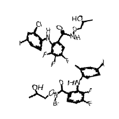 CC(O)CONC(=O)c1cc(F)c(F)c(F)c1Nc1ccc(I)cc1Cl.Cc1cc(I)ccc1Nc1c(C(=O)N(Br)OCC(C)O)ccc(F)c1F